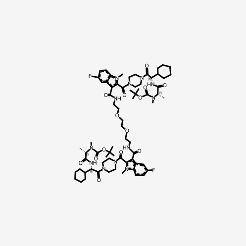 C[C@@H](C(=O)N[C@H](C(=O)N1CCN(C(=O)c2c(C(=O)NCCOCCOCCNC(=O)c3c(C(=O)N4CCN(C(=O)[C@@H](NC(=O)[C@H](C)N(C)C(=O)OC(C)(C)C)C5CCCCC5)CC4)n(C)c4ccc(F)cc34)c3cc(F)ccc3n2C)CC1)C1CCCCC1)N(C)C(=O)OC(C)(C)C